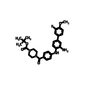 COc1ccc(-c2ccc(Nc3ccc(C(=O)N4CCN(C(=O)OC(C)(C)C)CC4)cc3)c(N)c2)cc1F